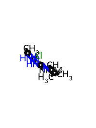 CC(=O)Nc1cc(Nc2nc(Cl)nc(Nc3ccc(C)cc3)n2)ccc1N=Nc1cc2c(C)cc(C)cc2cc1C